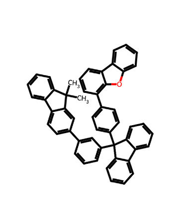 CC1(C)c2ccccc2-c2ccc(-c3cccc(C4(c5ccc(-c6cccc7c6oc6ccccc67)cc5)c5ccccc5-c5ccccc54)c3)cc21